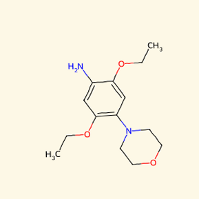 CCOc1cc(N2CCOCC2)c(OCC)cc1N